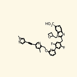 Cc1cc(C#Cc2cnn(C)c2)cnc1COc1cccc(-c2cc(F)c(Cc3nc4ccc(C(=O)O)cc4n3CC3CCO3)cc2F)n1